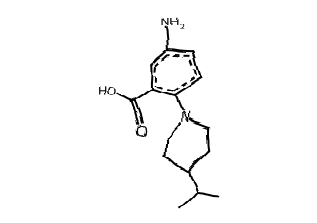 CC(C)C1CCN(c2ccc(N)cc2C(=O)O)CC1